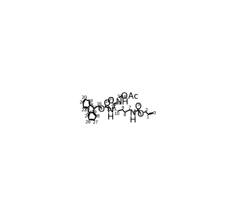 C=CCOC(=O)NCCCC[C@H](NC(=O)OCC1c2ccccc2-c2ccccc21)C(=O)NCOC(C)=O